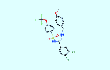 COc1ccc(CNC[C@@H](NS(=O)(=O)c2ccc(OC(F)(F)F)cc2)c2ccc(Cl)c(Cl)c2)cc1